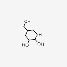 OCC1CNC(O)C(O)C1